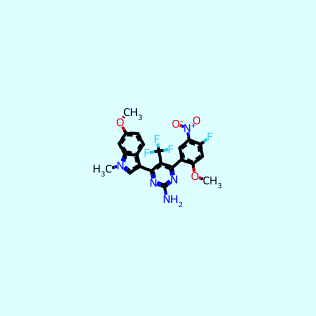 COc1ccc2c(-c3nc(N)nc(-c4cc([N+](=O)[O-])c(F)cc4OC)c3C(F)(F)F)cn(C)c2c1